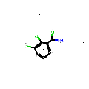 NC(Cl)c1cccc(Cl)c1Cl